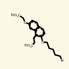 CCOC(=O)CCc1c(OCCCCCBr)ccc2ccc(OCC(=O)OCC)cc12